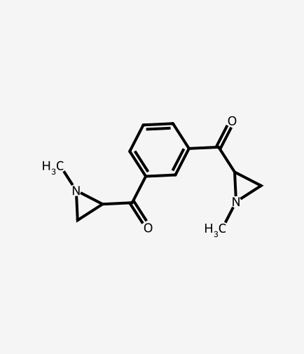 CN1CC1C(=O)c1cccc(C(=O)C2CN2C)c1